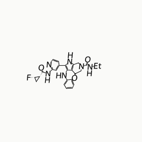 CCNC(=O)N1CC(=O)c2c([nH]c(-c3ccnc(NC(=O)[C@@H]4C[C@@H]4F)c3)c2Nc2ccccc2)C1